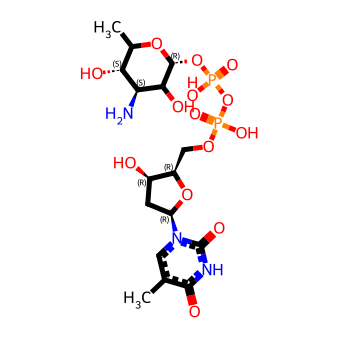 Cc1cn([C@H]2C[C@@H](O)[C@@H](COP(=O)(O)OP(=O)(O)O[C@H]3OC(C)[C@@H](O)[C@H](N)C3O)O2)c(=O)[nH]c1=O